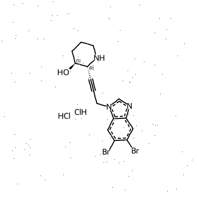 Cl.Cl.O[C@H]1CCCN[C@@H]1C#CCn1cnc2cc(Br)c(Br)cc21